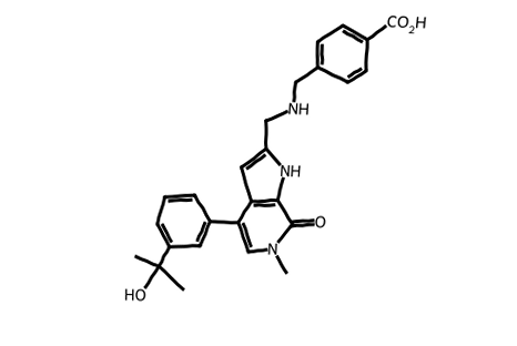 Cn1cc(-c2cccc(C(C)(C)O)c2)c2cc(CNCc3ccc(C(=O)O)cc3)[nH]c2c1=O